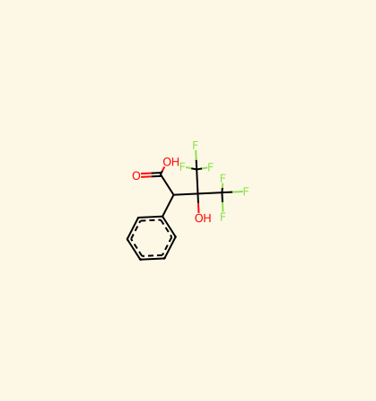 O=C(O)C(c1ccccc1)C(O)(C(F)(F)F)C(F)(F)F